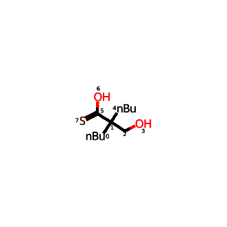 CCCCC(CO)(CCCC)C(O)=S